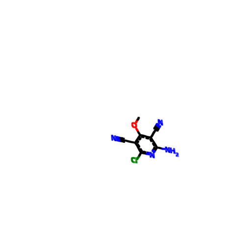 COc1c(C#N)c(N)nc(Cl)c1C#N